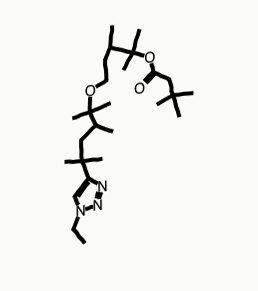 CCn1cc(C(C)(C)CC(C)C(C)(C)OCCC(C)C(C)(C)OC(=O)CC(C)(C)C)nn1